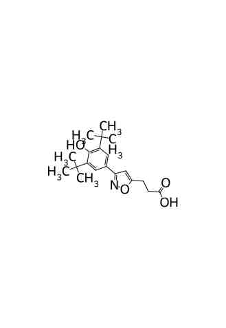 CC(C)(C)c1cc(-c2cc(CCC(=O)O)on2)cc(C(C)(C)C)c1O